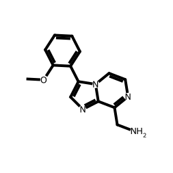 COc1ccccc1-c1cnc2c(CN)nccn12